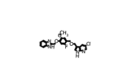 COc1cc(COCc2c[nH]c3ncc(Cl)cc23)c(F)cc1OCc1nc2ccccc2[nH]1